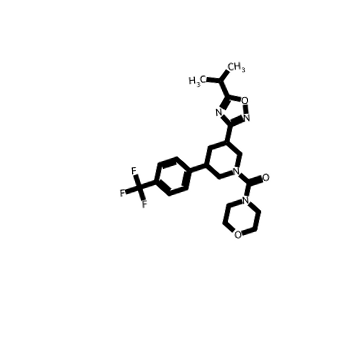 CC(C)c1nc(C2CC(c3ccc(C(F)(F)F)cc3)CN(C(=O)N3CCOCC3)C2)no1